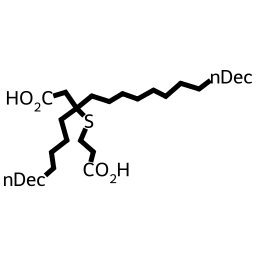 CCCCCCCCCCCCCCCCCCC(CCCCCCCCCCCCCC)(CC(=O)O)SCCC(=O)O